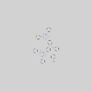 CC(C)(C)c1ccc2c(c1)Oc1cccc3c1B2c1cc(-c2nc(-c4ccccc4)nc(-c4ccccc4)n2)cc2c4cc(-c5nc(-c6ccccc6)nc(-c6ccccc6)n5)ccc4n-3c12